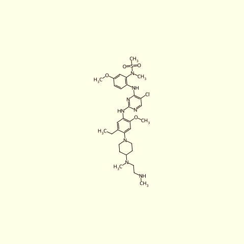 CCc1cc(Nc2ncc(Cl)c(Nc3ccc(OC)cc3N(C)S(C)(=O)=O)n2)c(OC)cc1N1CCC(N(C)CCNC)CC1